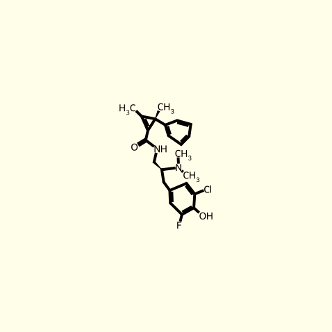 CC1=C(C(=O)NC[C@H](Cc2cc(F)c(O)c(Cl)c2)N(C)C)[C@@]1(C)c1ccccc1